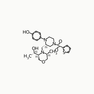 C[C@H](O)[C@@H]1COC[C@H](C)N1C[C@H]1CN(S(=O)(=O)c2cccs2)CCN1c1ccc(O)cc1